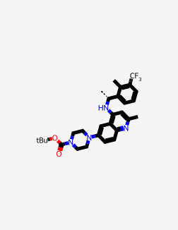 Cc1cc(N[C@H](C)c2cccc(C(F)(F)F)c2C)c2cc(N3CCN(C(=O)OC(C)(C)C)CC3)ccc2n1